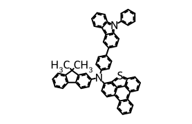 CC1(C)c2ccccc2-c2ccc(N(c3ccc(-c4ccc5c(c4)c4ccccc4n5-c4ccccc4)cc3)c3ccc4c5ccccc5c5cccc6sc3c4c65)cc21